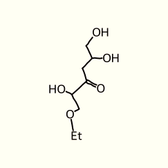 CCOCC(O)C(=O)CC(O)CO